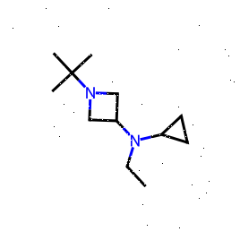 CCN(C1CC1)C1CN(C(C)(C)C)C1